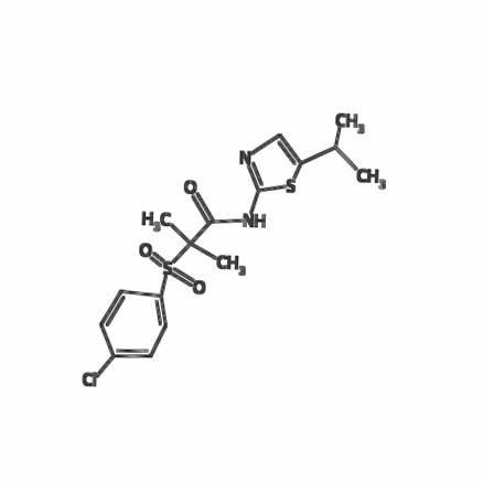 CC(C)c1cnc(NC(=O)C(C)(C)S(=O)(=O)c2ccc(Cl)cc2)s1